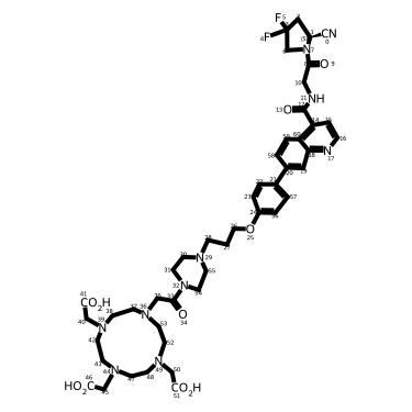 N#C[C@@H]1CC(F)(F)CN1C(=O)CNC(=O)c1ccnc2cc(-c3ccc(OCCCN4CCN(C(=O)CN5CCN(CC(=O)O)CCN(CC(=O)O)CCN(CC(=O)O)CC5)CC4)cc3)ccc12